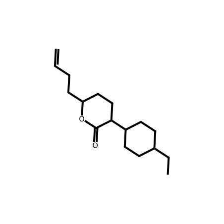 C=CCCC1CCC(C2CCC(CC)CC2)C(=O)O1